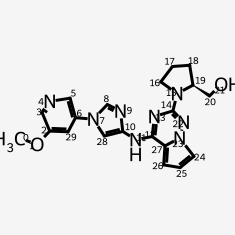 COc1cncc(-n2cnc(Nc3nc(N4CCC[C@H]4CO)nn4cccc34)c2)c1